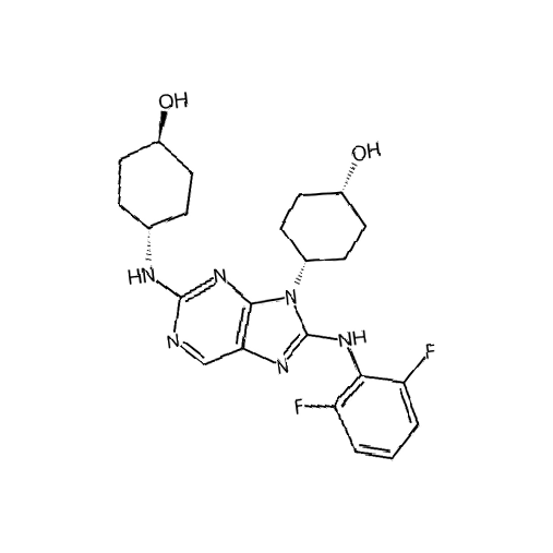 O[C@H]1CC[C@H](Nc2ncc3nc(Nc4c(F)cccc4F)n([C@H]4CC[C@@H](O)CC4)c3n2)CC1